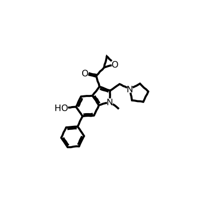 Cn1c(CN2CCCC2)c(C(=O)C2CO2)c2cc(O)c(-c3ccccc3)cc21